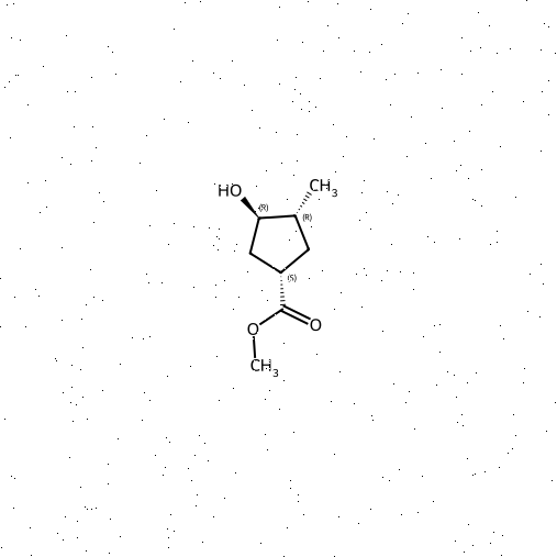 COC(=O)[C@H]1C[C@@H](C)[C@H](O)C1